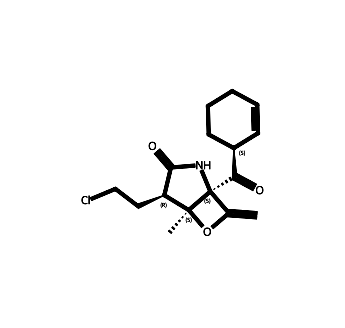 C=C1O[C@@]2(C)[C@@H](CCCl)C(=O)N[C@@]12C(=O)[C@@H]1C=CCCC1